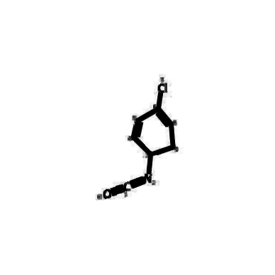 O=C=NC1C=CC(Cl)=CC1